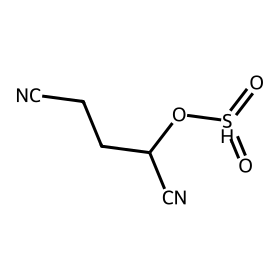 N#CCCC(C#N)O[SH](=O)=O